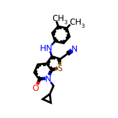 Cc1ccc(Nc2c(C#N)sc3c2ccc(=O)n3CC2CC2)cc1C